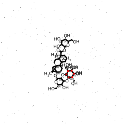 C=C[C@@]12CCC[C@@](C)(C(=O)O[C@@H]3OC(CO)[C@@H](O)[C@H](O)C3O)[C@H]1CC[C@]13CC(=C)[C@](O[C@@H]4O[C@H](CO)C(O)C(O[C@H]5CC(O)C(O)[C@@H](CO)O5)[C@H]4O[C@@H]4O[C@@H](CO)[C@@H](O)C(O)C4O)(CC[C@H]12)C3